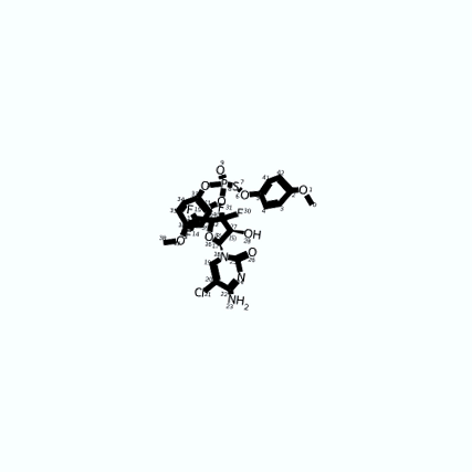 COc1ccc(OSP(=O)(OC[C@@]2(C(F)F)O[C@@H](n3cc(Cl)c(N)nc3=O)[C@H](O)C2(F)F)Oc2ccc(OC)cc2)cc1